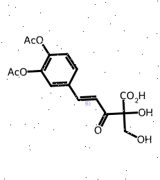 CC(=O)Oc1ccc(/C=C/C(=O)C(O)(CO)C(=O)O)cc1OC(C)=O